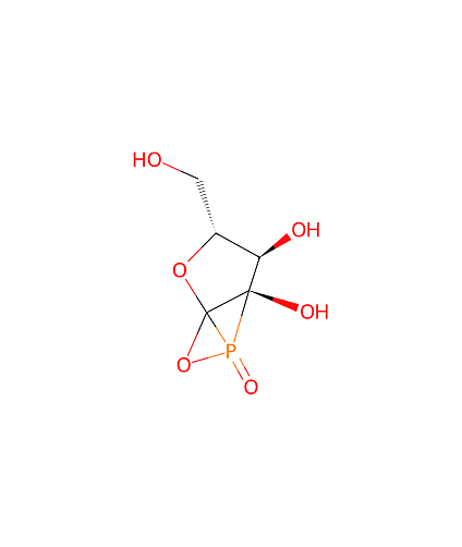 O=P12OC13O[C@H](CO)[C@@H](O)[C@@]32O